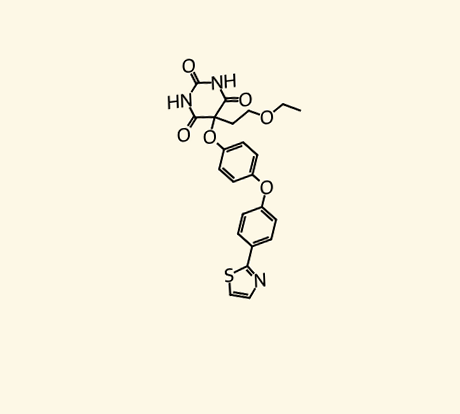 CCOCCC1(Oc2ccc(Oc3ccc(-c4nccs4)cc3)cc2)C(=O)NC(=O)NC1=O